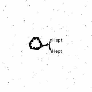 CCCCCCCN(CCCCCCC)c1ccccc1